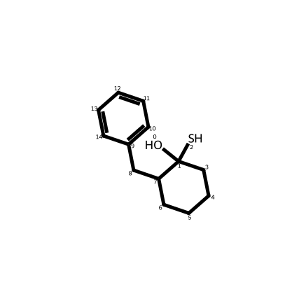 OC1(S)CCCCC1Cc1ccccc1